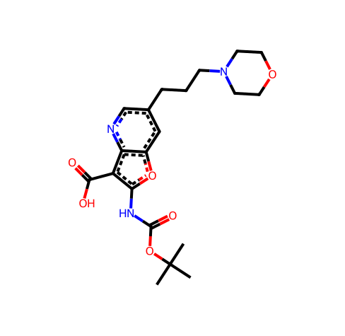 CC(C)(C)OC(=O)Nc1oc2cc(CCCN3CCOCC3)cnc2c1C(=O)O